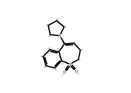 O=S1(=O)CCC=C(N2CCCC2)c2ccccc21